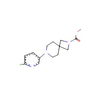 CC(C)(C)OC(=O)N1CC2(CCN(c3ccc(Cl)nc3)CC2)C1